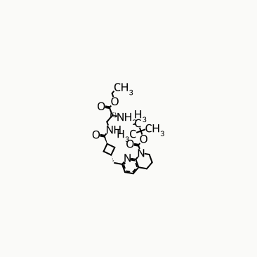 CCOC(=O)[C@@H](N)CNC(=O)[C@H]1C[C@H](Cc2ccc3c(n2)N(C(=O)OC(C)(C)C)CCC3)C1